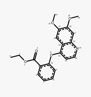 CCOC(=O)c1ccccc1Oc1ccnc2cc(OC)c(OC)cc12